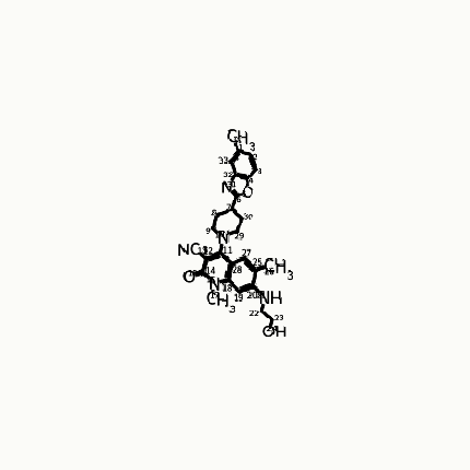 Cc1ccc2oc(C3CCN(c4c(C#N)c(=O)n(C)c5cc(NCCO)c(C)cc45)CC3)nc2c1